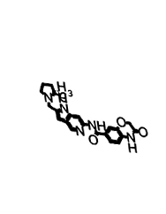 C[C@H]1CCCN1Cc1cc2cnc(NC(=O)c3ccc4c(c3)OCC(=O)N4)cc2[nH]1